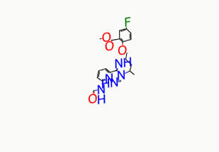 COC(=O)c1cc(F)ccc1OCCCC(C)N(C=N)C(=N)c1cccc(NC=O)n1